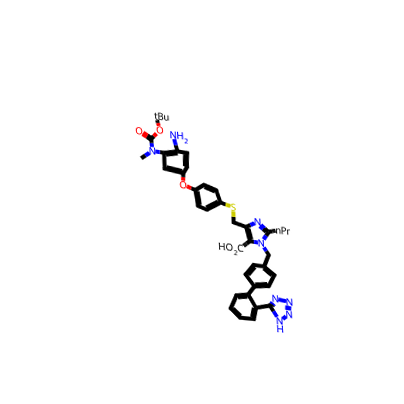 CCCc1nc(CSc2ccc(Oc3ccc(N)c(N(C)C(=O)OC(C)(C)C)c3)cc2)c(C(=O)O)n1Cc1ccc(-c2ccccc2-c2nnn[nH]2)cc1